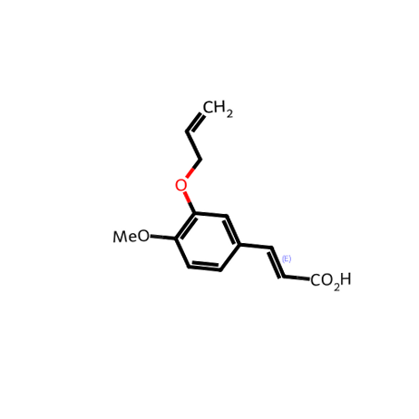 C=CCOc1cc(/C=C/C(=O)O)ccc1OC